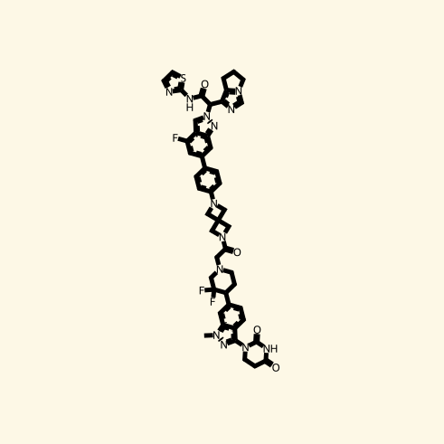 Cn1nc(N2CCC(=O)NC2=O)c2ccc(C3CCN(CC(=O)N4CC5(C4)CN(c4ccc(-c6cc(F)c7cn(C(C(=O)Nc8nccs8)c8ncn9c8CCC9)nc7c6)cc4)C5)CC3(F)F)cc21